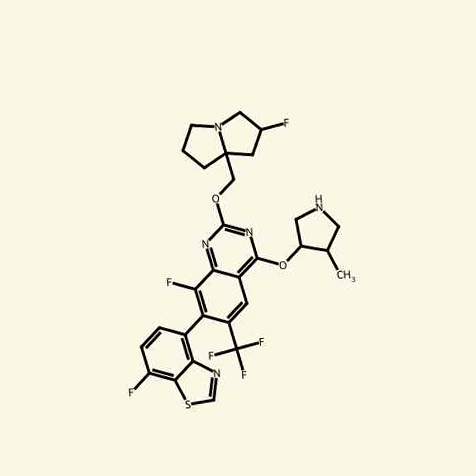 CC1CNCC1Oc1nc(OCC23CCCN2CC(F)C3)nc2c(F)c(-c3ccc(F)c4scnc34)c(C(F)(F)F)cc12